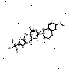 COc1ccc2c(c1)CCCN(c1nc(C)n(Cc3ccc(C(F)(F)F)s3)c(=O)n1)C2